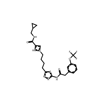 O=C(Cc1cccc(OC(F)(F)F)c1)Nc1nnc(CCCCn2cc(C(=O)NCC3CC3)[nH]2)s1